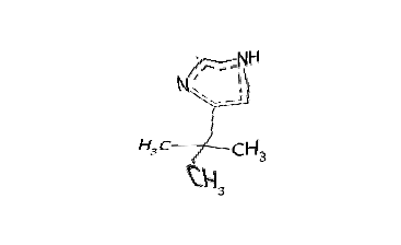 CC(C)(C)c1c[nH][c]n1